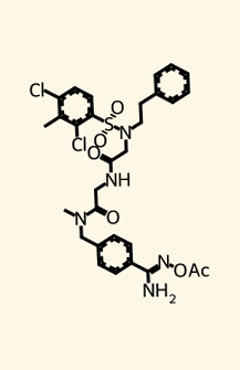 CC(=O)ON=C(N)c1ccc(CN(C)C(=O)CNC(=O)CN(CCc2ccccc2)S(=O)(=O)c2ccc(Cl)c(C)c2Cl)cc1